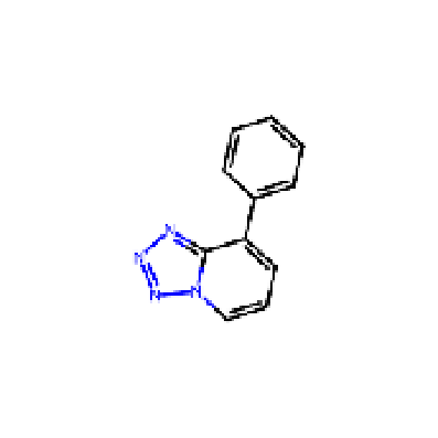 c1ccc(-c2cccn3nnnc23)cc1